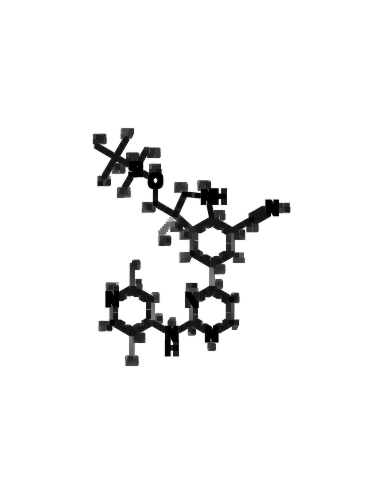 Cc1cc(Nc2nccc(-c3cc(C#N)c4c(c3)[C@@](C)(CO[Si](C)(C)C(C)(C)C)CN4)n2)c(C)cn1